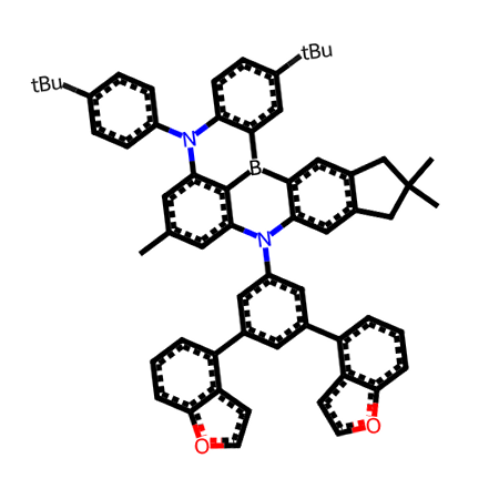 Cc1cc2c3c(c1)N(c1cc(-c4cccc5occc45)cc(-c4cccc5occc45)c1)c1cc4c(cc1B3c1cc(C(C)(C)C)ccc1N2c1ccc(C(C)(C)C)cc1)CC(C)(C)C4